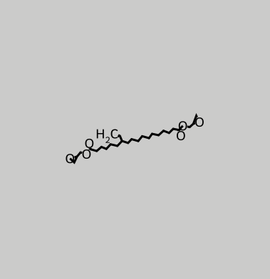 C=CC(CCCCCCCCCCC(=O)OCC1CO1)CCCCCC(=O)OCC1CO1